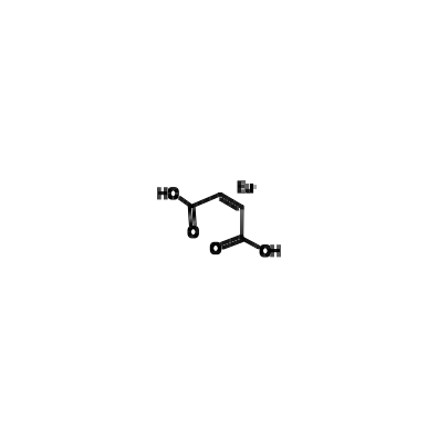 O=C(O)/C=C\C(=O)O.[Eu]